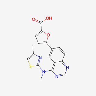 Cc1csc(N(C)c2ncnc3ccc(-c4ccc(C(=O)O)o4)cc23)n1